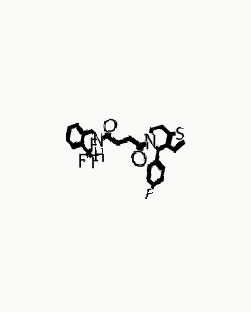 O=C(CCC(=O)N1CCc2sccc2C1c1ccc(F)cc1)NCc1ccccc1C(F)(F)F